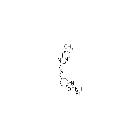 CCNc1nc2cc(CSCc3cn4ccc(C)cc4n3)ccc2o1